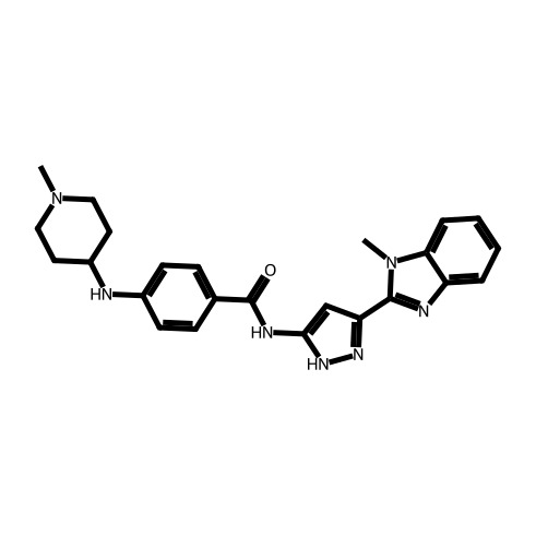 CN1CCC(Nc2ccc(C(=O)Nc3cc(-c4nc5ccccc5n4C)n[nH]3)cc2)CC1